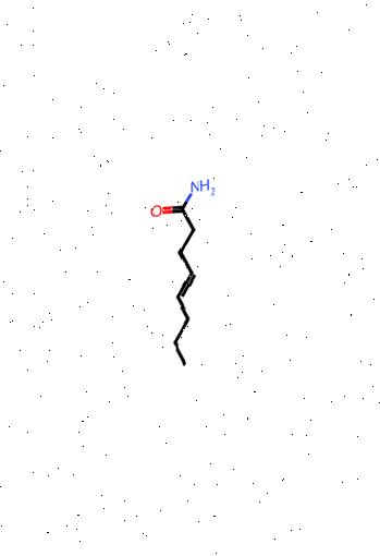 CCC/C=C/CCC(N)=O